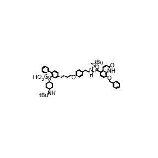 CC(C)(C)NC1CCC(N(C(=O)O)c2cc(/C=C/CCOc3ccc(CCNC[C@H](O[Si](C)(C)C(C)(C)C)c4ccc(OCc5ccccc5)c5[nH]c(=O)ccc45)cc3)ccc2-c2ccccc2)CC1